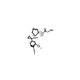 CC(C)(C)OC(=O)N[C@H]1CCC[C@H]1NC1(c2ccc(F)c(C(F)(F)F)c2)CC1